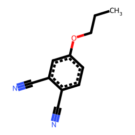 CCCOc1ccc(C#N)c(C#N)c1